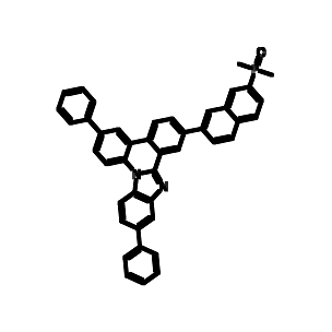 CP(C)(=O)c1ccc2ccc(-c3ccc4c5cc(-c6ccccc6)ccc5n5c6ccc(-c7ccccc7)cc6nc5c4c3)cc2c1